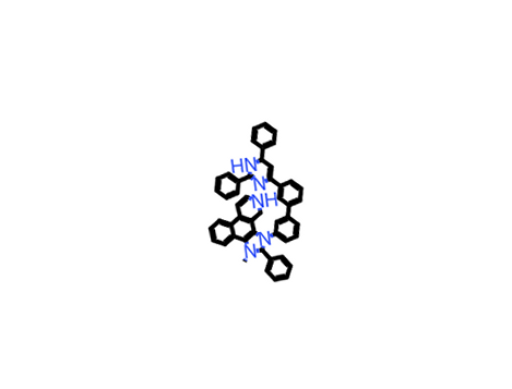 CN1c2c(c3c(c4ccccc24)C=CNC3)N(c2cccc(-c3cccc(C4=CC(c5ccccc5)NC(c5ccccc5)=N4)c3)c2)C1c1ccccc1